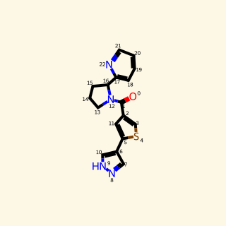 O=C(c1csc(-c2cn[nH]c2)c1)N1CCCC1c1ccccn1